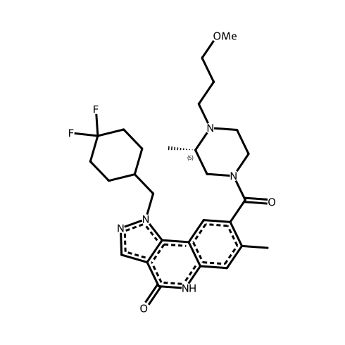 COCCCN1CCN(C(=O)c2cc3c(cc2C)[nH]c(=O)c2cnn(CC4CCC(F)(F)CC4)c23)C[C@@H]1C